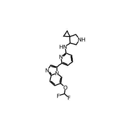 FC(F)Oc1ccc2ncc(-c3cccc(NC4CNCC45CC5)n3)n2c1